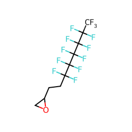 FC(F)(F)C(F)(F)C(F)(F)C(F)(F)C(F)(F)C(F)(F)CCC1CO1